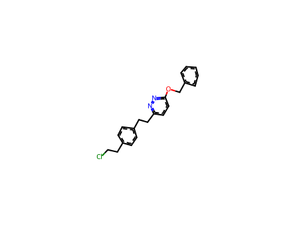 ClCCc1ccc(CCc2ccc(OCc3ccccc3)nn2)cc1